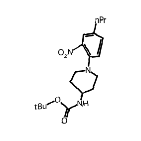 CCCc1ccc(N2CCC(NC(=O)OC(C)(C)C)CC2)c([N+](=O)[O-])c1